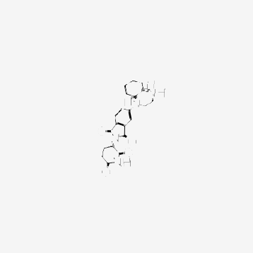 O=C1CC[C@@H](N2C(=O)c3ccc(N4CCN[C@@H]5CCCC[C@H]54)cc3C2=O)C(=O)N1